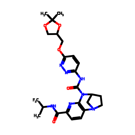 CC(NC(=O)c1ccc2c(n1)N(C(=O)Nc1ccc(OCC3COC(C)(C)O3)nn1)C1CCN2C1)C(F)(F)F